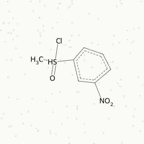 C[SH](=O)(Cl)c1cccc([N+](=O)[O-])c1